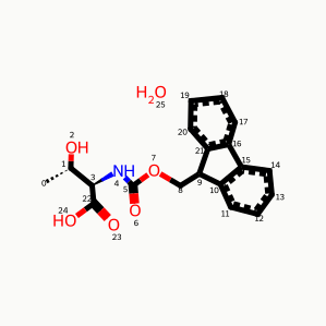 C[C@H](O)[C@@H](NC(=O)OCC1c2ccccc2-c2ccccc21)C(=O)O.O